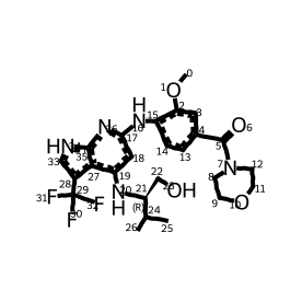 COc1cc(C(=O)N2CCOCC2)ccc1Nc1cc(N[C@@H](CO)C(C)C)c2c(C(F)(F)F)c[nH]c2n1